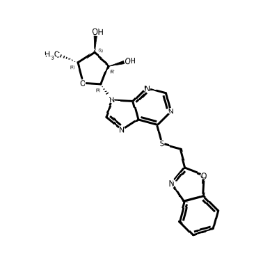 C[C@H]1O[C@@H](n2cnc3c(SCc4nc5ccccc5o4)ncnc32)[C@H](O)[C@@H]1O